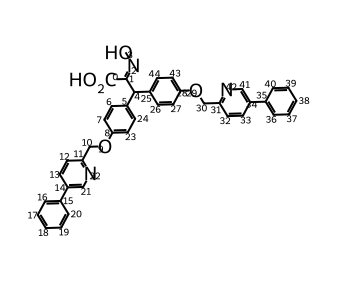 O=C(O)/C(=N\O)C(c1ccc(OCc2ccc(-c3ccccc3)cn2)cc1)c1ccc(OCc2ccc(-c3ccccc3)cn2)cc1